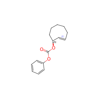 O=C(Oc1ccccc1)O[C@@H]1/C=C/CCCCC1